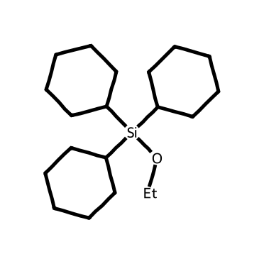 CCO[Si](C1CCCCC1)(C1CCCCC1)C1CCCCC1